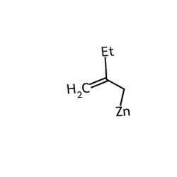 C=C(CC)[CH2][Zn]